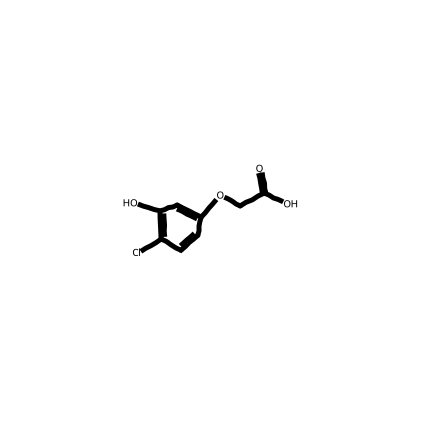 O=C(O)COc1ccc(Cl)c(O)c1